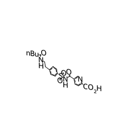 CCCCC(=O)NCCc1ccc(S(=O)(=O)NC(=O)c2ccc(C(=O)O)nc2)cc1